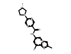 Cc1cn2cc(NC(=O)c3cnc(N4CC[C@H](C)C4)cn3)cc(F)c2n1